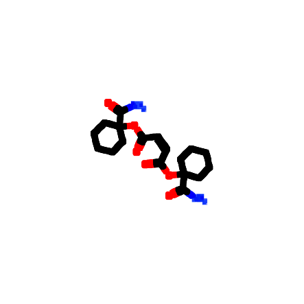 NC(=O)C1(OC(=O)/C=C\C(=O)OC2(C(N)=O)CCCCC2)CCCCC1